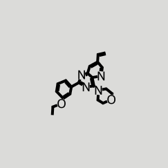 C=Cc1cnc2c(N3CCOCC3)nc(-c3cccc(OCC)c3)nc2c1